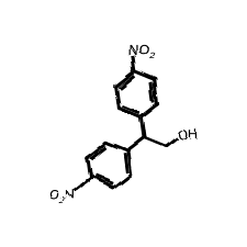 O=[N+]([O-])c1ccc(C(CO)c2ccc([N+](=O)[O-])cc2)cc1